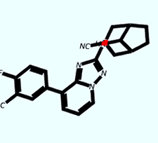 N#CN1CC2CCC(C1)C2Nc1nc2c(-c3ccc(F)c(C(F)(F)F)c3)cccn2n1